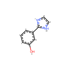 Oc1cccc(-c2ncc[nH]2)c1